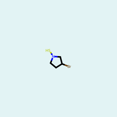 SN1CCC(Br)C1